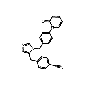 N#Cc1ccc(Cc2cncn2Cc2ccc(-n3ccccc3=O)cc2)cc1